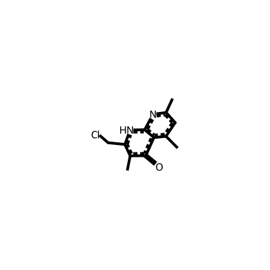 Cc1cc(C)c2c(=O)c(C)c(CCl)[nH]c2n1